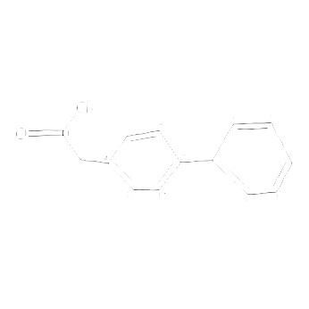 O=C(Cl)Cc1ccc(-c2ccccc2)cc1